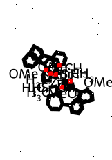 COc1ccccc1C1C=CC=CC2=C1C=C(C)[C]21[SiH](C)[C]2(C(C)=CC3=C2C=CC=CC3c2ccccc2OC)[Zr]12([Cl])([Cl])[C]1(C(C)=CC3=C1C=CC=CC3c1ccccc1OC)[SiH](C)[C]21C(C)=CC2=C1C=CC=CC2c1ccccc1OC